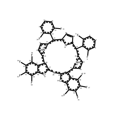 Fc1cccc(F)c1-c1c2nc(c(-c3c(F)cccc3F)c3ccc([nH]3)c3c(nc4oc5c(F)c(F)c(F)c(F)c5c4c4ccc1[nH]4)oc1c(F)c(F)c(F)c(F)c13)C=C2